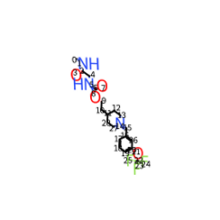 CNC(=O)CNC(=O)OCCC1CCN(Cc2cccc(OC(F)(F)F)c2)CC1